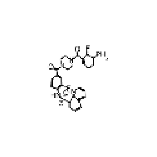 O=C(C1=CCCC(P)C1F)N1CCN(C(=O)c2ccc(NS(=O)(=O)C3CC=Cc4cccnc43)c(F)c2)CC1